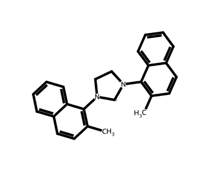 Cc1ccc2ccccc2c1N1[C]N(c2c(C)ccc3ccccc23)CC1